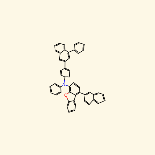 c1ccc(-c2cc(-c3ccc(N(c4ccccc4)c4ccc(-c5ccc6ccccc6c5)c5c4oc4ccccc45)cc3)cc3ccccc23)cc1